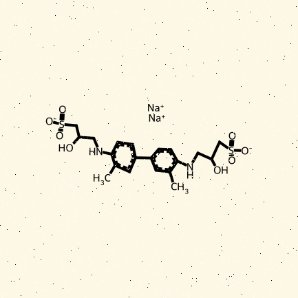 Cc1cc(-c2ccc(NCC(O)CS(=O)(=O)[O-])c(C)c2)ccc1NCC(O)CS(=O)(=O)[O-].[Na+].[Na+]